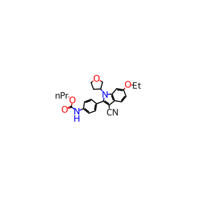 CCCOC(=O)Nc1ccc(-c2c(C#N)c3ccc(OCC)cc3n2C2CCOC2)cc1